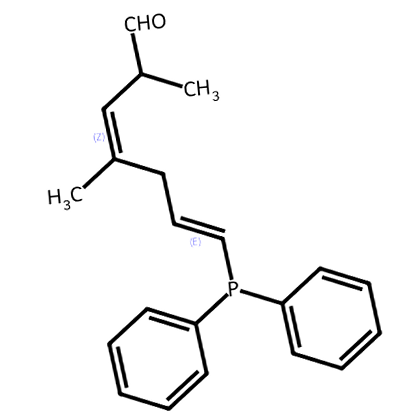 C/C(=C/C(C)C=O)C/C=C/P(c1ccccc1)c1ccccc1